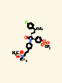 CC(=O)OC(CC[C@H]1C(=O)N(c2ccc(CCCN(C)S(C)(=O)=O)cc2)[C@@H]1c1ccc(OS(=O)(=O)C(F)(F)F)cc1)c1ccc(F)cc1